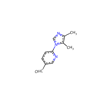 Cc1ncn(-c2ccc(C=O)cn2)c1C